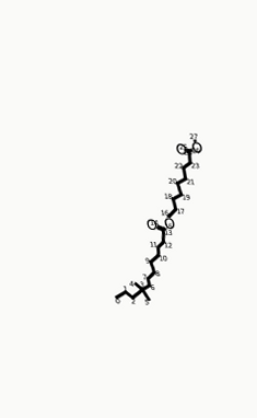 CCCC(C)(C)CCCCCCCC(=O)OCCCCCCCCC(=O)OC